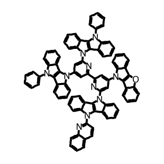 c1ccc(-n2c3ccccc3c3c2c2ccccc2n3-c2cc(-c3cc(-n4c5ccccc5c5oc6ccccc6c54)cc(-n4c5ccccc5c5c4c4ccccc4n5-c4ccc5ccccc5n4)n3)nc(-n3c4ccccc4c4c3c3ccccc3n4-c3ccccc3)c2)cc1